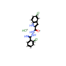 Cl.N=C(NNC(=O)c1cc2cc(Cl)ccc2[nH]1)c1ccccc1Cl